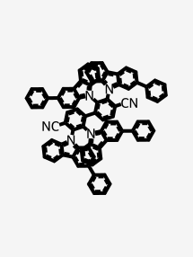 N#Cc1ccc(-c2ccc(C#N)c(-n3c4ccccc4c4ccc(-c5ccccc5)cc43)c2-n2c3ccccc3c3cc(-c4ccccc4)ccc32)c(-n2c3ccccc3c3cc(-c4ccccc4)ccc32)c1-n1c2ccccc2c2cc(-c3ccccc3)ccc21